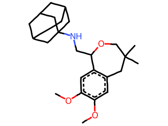 COc1cc2c(cc1OC)C(CNC13CC4CC(CC(C4)C1)C3)OCC(C)(C)C2